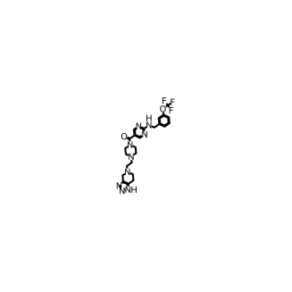 O=C(c1cnc(NCc2cccc(OC(F)(F)F)c2)nc1)N1CCN(CCN2CCc3[nH]nnc3C2)CC1